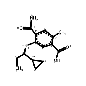 CCC(Nc1cc(C(=O)O)c(C)cc1C(N)=O)C1CC1